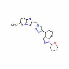 O=Cc1ccc2nc(Cn3cc(-c4cccc5c4cnn5C4CCCCO4)nn3)cn2c1